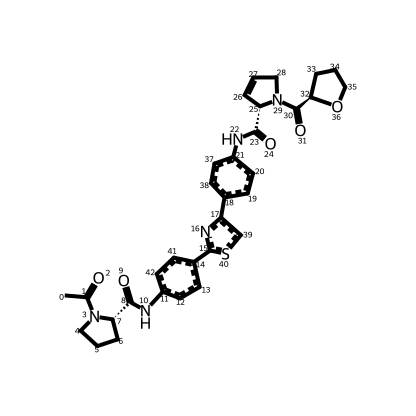 CC(=O)N1CCC[C@H]1C(=O)Nc1ccc(-c2nc(-c3ccc(NC(=O)[C@@H]4C=CCN4C(=O)[C@H]4CCCO4)cc3)cs2)cc1